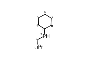 CC(C)CPC1CCCCC1